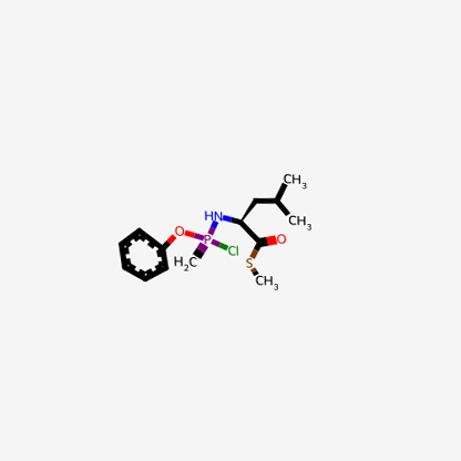 C=P(Cl)(N[C@@H](CC(C)C)C(=O)SC)Oc1ccccc1